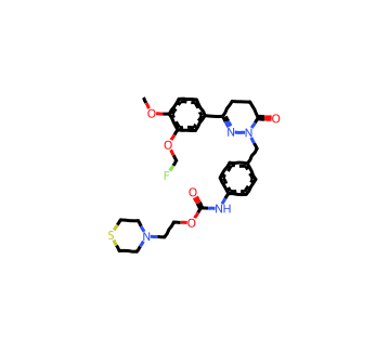 COc1ccc(C2=NN(Cc3ccc(NC(=O)OCCN4CCSCC4)cc3)C(=O)CC2)cc1OCF